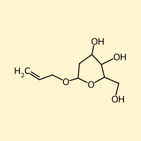 C=CCOC1CC(O)C(O)C(CO)O1